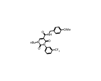 CCCCn1cc(C(=O)NCc2ccc(OC)cc2)c(=O)n(-c2cccc(C(F)(F)F)c2)c1=O